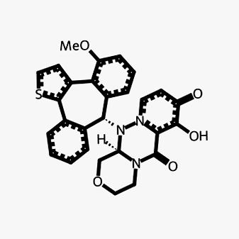 COc1cccc2c1-c1ccsc1-c1ccccc1[C@H]2N1[C@@H]2COCCN2C(=O)c2c(O)c(=O)ccn21